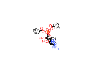 CCCC(CCC)C(=O)OCOP(=O)(OCOC(=O)C(CCC)CCC)OC[C@H]1O[C@@](C#N)(c2ccc3c(N)ncnn23)[C@H](O)[C@@H]1O